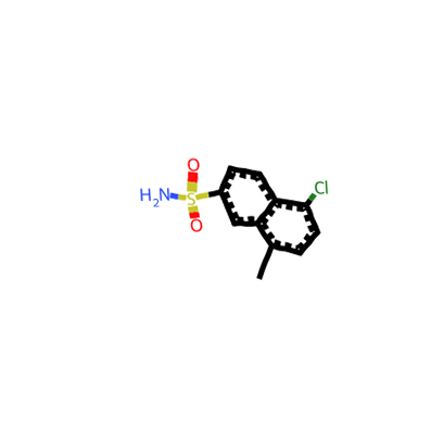 Cc1ccc(Cl)c2ccc(S(N)(=O)=O)cc12